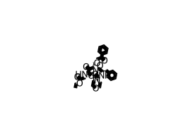 CCOC(=O)CNC(=O)C(=O)[C@H](COCC(=O)c1ccccc1)NC(=O)[C@H](CC1CCCCC1)NC(=O)N1CCOCC1